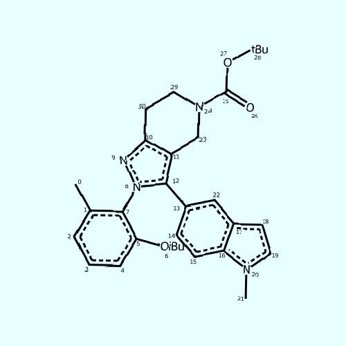 Cc1cccc(OCC(C)C)c1-n1nc2c(c1-c1ccc3c(ccn3C)c1)CN(C(=O)OC(C)(C)C)CC2